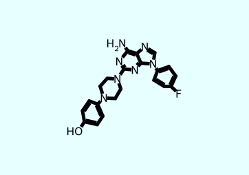 Nc1nc(N2CCN(c3ccc(O)cc3)CC2)nc2c1ncn2-c1ccc(F)cc1